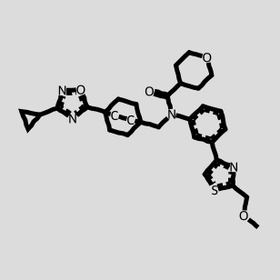 COCc1nc(-c2cccc(N(CC34CCC(c5nc(C6CC6)no5)(CC3)CC4)C(=O)C3CCOCC3)c2)cs1